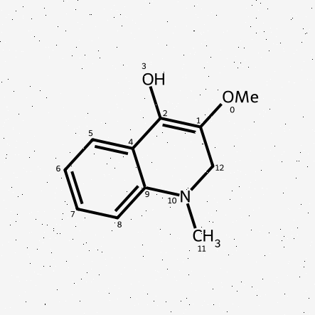 COC1=C(O)c2ccccc2N(C)C1